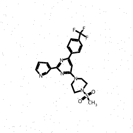 CS(=O)(=O)N1CCN(c2cc(-c3ccc(C(F)(F)F)cc3)nc(-c3cccnc3)n2)CC1